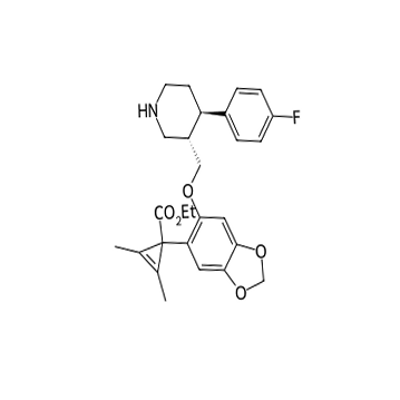 CCOC(=O)C1(c2cc3c(cc2OC[C@@H]2CNCC[C@H]2c2ccc(F)cc2)OCO3)C(C)=C1C